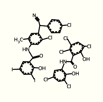 Cc1cc(C(C#N)c2ccc(Cl)cc2)c(Cl)cc1NC(=O)c1cc(I)cc(I)c1O.O=C(Nc1cc(Cl)cc(Cl)c1O)c1c(O)c(Cl)cc(Cl)c1Cl